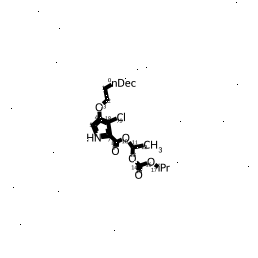 CCCCCCCCCCCCOc1c[nH]c(C(=O)OC(C)OC(=O)OC(C)C)c1Cl